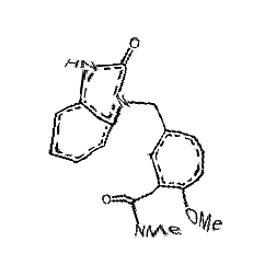 CNC(=O)c1cc(Cn2c(=O)[nH]c3ccccc32)ccc1OC